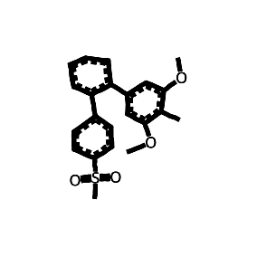 COc1cc(-c2ccccc2-c2ccc(S(C)(=O)=O)cc2)cc(OC)c1C